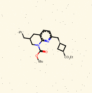 CCOC(=O)[C@H]1C[C@@H](Cc2ccc3c(n2)N(C(=O)OC(C)(C)C)CC(CC(C)C)C3)C1